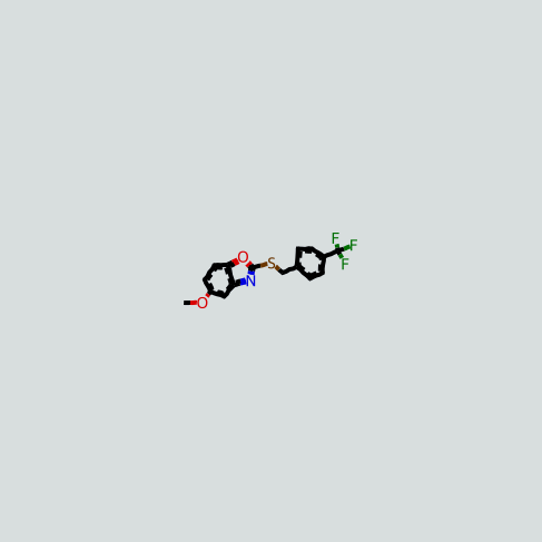 COc1ccc2oc(SCc3ccc(C(F)(F)F)cc3)nc2c1